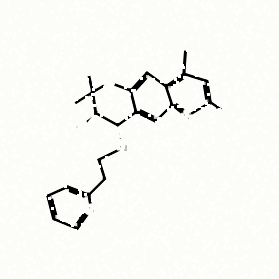 Cc1cc(Cl)nc2cc3c(cc12)OC(C)(C)[C@H](O)[C@H]3NCCc1ccccn1